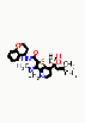 CC(C)=CC(C)(O)c1ccnc2c(N(C)C)c(C(=O)N[C@H]3CCOc4ccccc43)sc12